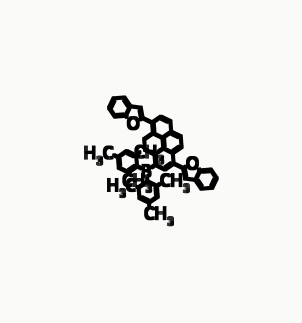 CC1=CC(C)C(B(c2cc(-c3cc4ccccc4o3)c3ccc4ccc(-c5cc6ccccc6o5)c5c4c3c2CC5)c2c(C)cc(C)cc2C)C(C)=C1